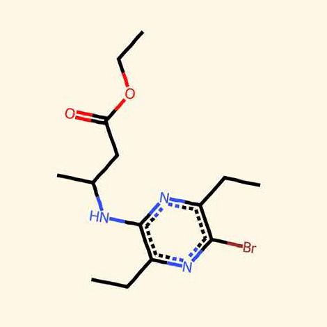 CCOC(=O)CC(C)Nc1nc(CC)c(Br)nc1CC